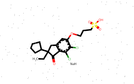 CCC1(C2CCCC2)Cc2cc(OCCCS(=O)(=O)O)c(Cl)c(Cl)c2C1=O.[NaH]